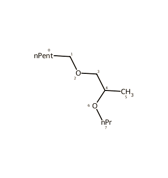 CCCCCCOCC(C)OCCC